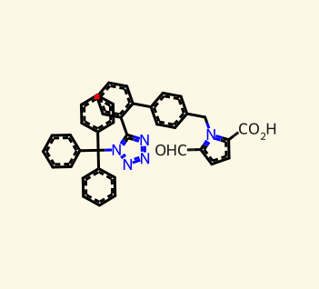 O=Cc1ccc(C(=O)O)n1Cc1ccc(-c2ccccc2-c2nnnn2C(c2ccccc2)(c2ccccc2)c2ccccc2)cc1